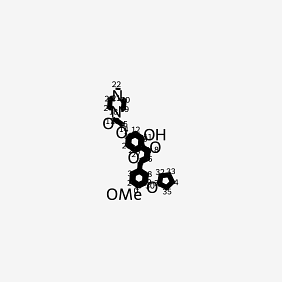 COc1ccc(-c2cc(=O)c3c(O)cc(OCC(=O)N4CCN(C)CC4)cc3o2)cc1OC1CCCC1